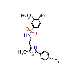 Cc1sc(-c2ccc(C(F)(F)F)cc2)nc1CCNS(=O)(=O)c1ccc(C(C)C)c(C(=O)O)c1